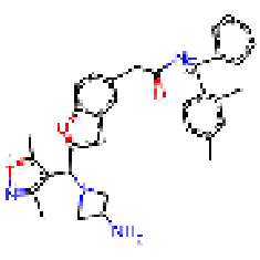 Cc1ccc([C@@H](NC(=O)Cc2ccc3oc(C(c4c(C)noc4C)N4CC(N)C4)cc3c2)c2ccccc2)c(C)c1